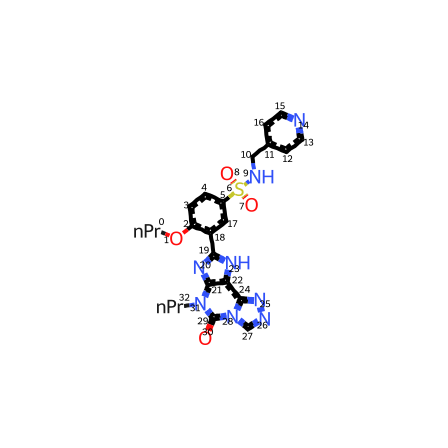 CCCOc1ccc(S(=O)(=O)NCc2ccncc2)cc1-c1nc2c([nH]1)c1nncn1c(=O)n2CCC